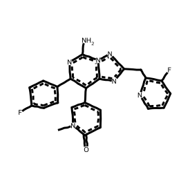 Cn1cc(-c2c(-c3ccc(F)cc3)nc(N)n3nc(Cc4ncccc4F)nc23)ccc1=O